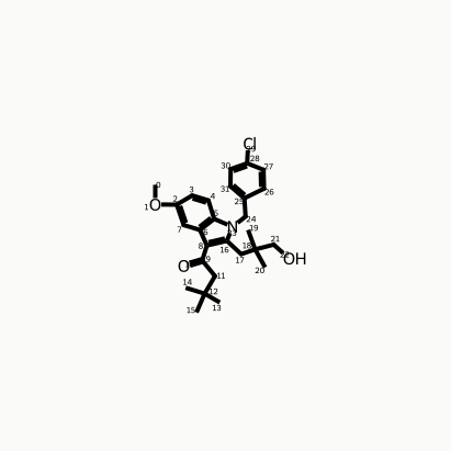 COc1ccc2c(c1)c(C(=O)CC(C)(C)C)c(CC(C)(C)CO)n2Cc1ccc(Cl)cc1